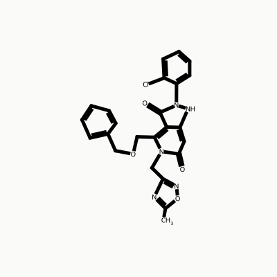 Cc1nc(Cn2c(COCc3ccccc3)c3c(=O)n(-c4ccccc4Cl)[nH]c3cc2=O)no1